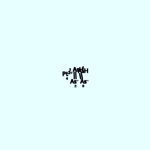 [As-]=[AsH].[As-]=[AsH].[Pt+2]